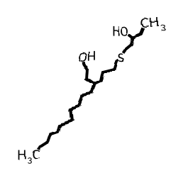 CCCCCCCCCCCC(CCCO)CCCCSCCC(O)CC